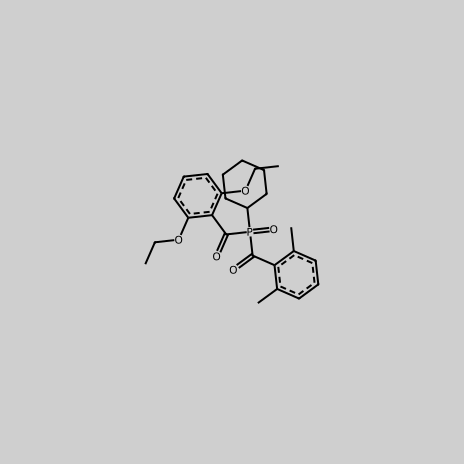 CCOc1cccc(OCC)c1C(=O)P(=O)(C(=O)c1c(C)cccc1C)C1CCCCC1